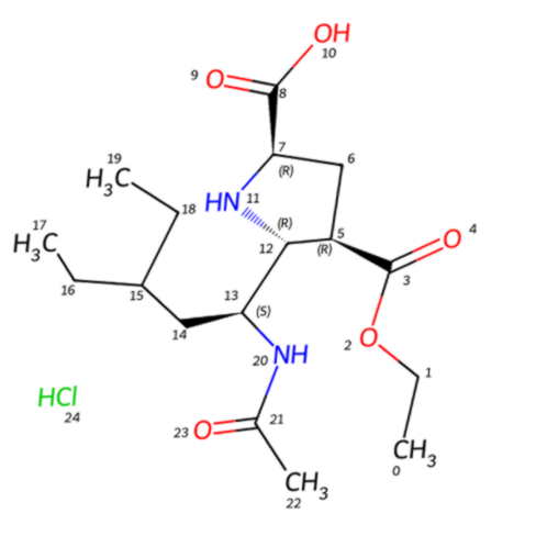 CCOC(=O)[C@@H]1C[C@H](C(=O)O)N[C@H]1[C@H](CC(CC)CC)NC(C)=O.Cl